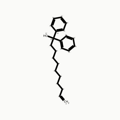 C=CCCCCCCCCC(O)(c1ccccc1)c1ccccc1